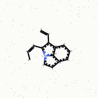 C=Cc1c(/C=C\C)n2ccc3cccc1c32